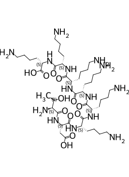 C[C@@H](O)[C@H](N)C(=O)N[C@@H](CC(=O)O)C(=O)N[C@@H](CCCCN)C(=O)N[C@@H](CCCCN)C(=O)N[C@@H](CCCCN)C(=O)N[C@@H](CCCCN)C(=O)N[C@@H](CCCCN)C(=O)N[C@@H](CCCCN)C(=O)O